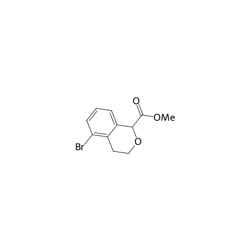 COC(=O)C1OCCc2c(Br)cccc21